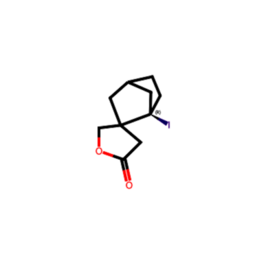 O=C1CC2(CO1)CC1CC[C@@]2(I)C1